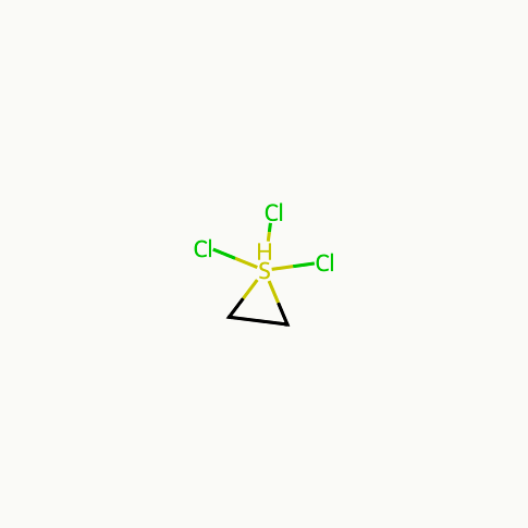 Cl[SH]1(Cl)(Cl)CC1